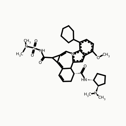 COc1ccc(C2CCCCC2)c2c1cc1n2C=C2C(=C3C=CC[C@@H](C(=O)N[C@@H]4CCC[C@H]4N(C)C)C31)C2C(=O)NS(=O)(=O)N(C)C